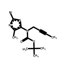 CC#CCN(C(=O)OC(C)(C)C)c1sc(Br)nc1C